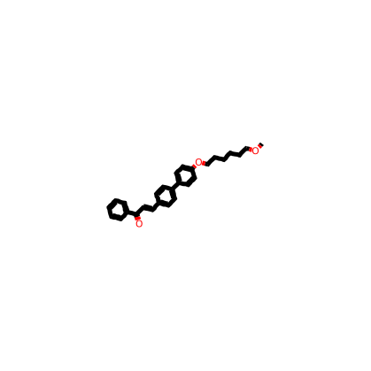 COCCCCCCOc1ccc(-c2ccc(/C=C/C(=O)c3ccccc3)cc2)cc1